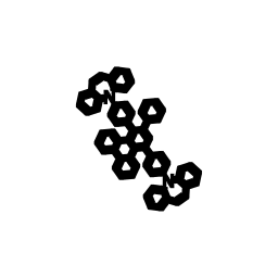 C1=Cc2ccccc2N(c2ccc(-c3cc(-c4ccccc4)c(-c4ccc(N5c6ccccc6C=Cc6ccccc65)cc4)c4c5ccccc5c5ccccc5c34)cc2)c2ccccc21